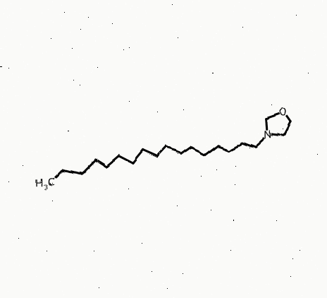 CCCCCCCCCCCCCCCCCN1CCOC1